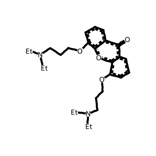 CCN(CC)CCCOc1cccc2c(=O)c3cccc(OCCCN(CC)CC)c3oc12